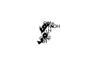 COc1cc2nccc(Oc3c(F)cc(NC(=O)NC4CC4)c(Cl)c3F)c2cc1C(=O)NCCO